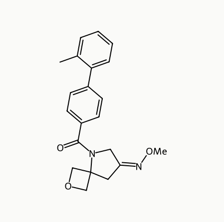 CO/N=C1\CN(C(=O)c2ccc(-c3ccccc3C)cc2)C2(COC2)C1